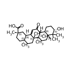 CC1(C)[C@@H](O)CC[C@]2(C)[C@H]3C(=O)C=C4[C@@H]5C[C@@](C)(C(=O)O)CC[C@]5(C)CC[C@@]4(C)[C@]3(C)CCC12I